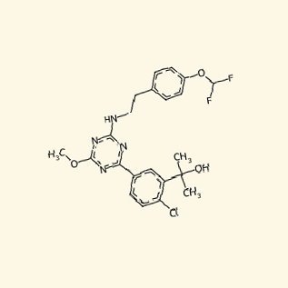 COc1nc(NCCc2ccc(OC(F)F)cc2)nc(-c2ccc(Cl)c(C(C)(C)O)c2)n1